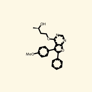 COc1ccc(-c2c(-c3ccccc3)oc3ncnc(OCC[C@@H](C)O)c23)cc1